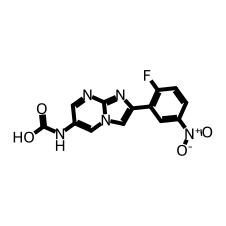 O=C(O)Nc1cnc2nc(-c3cc([N+](=O)[O-])ccc3F)cn2c1